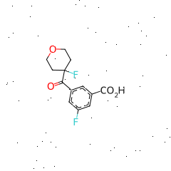 O=C(O)c1cc(F)cc(C(=O)C2(F)CCOCC2)c1